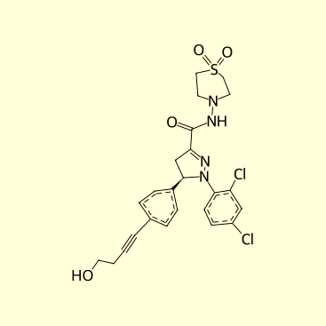 O=C(NN1CCS(=O)(=O)CC1)C1=NN(c2ccc(Cl)cc2Cl)[C@@H](c2ccc(C#CCCO)cc2)C1